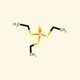 CCSP(=S)(SCC)SCC